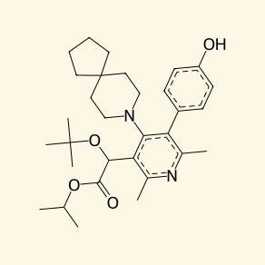 Cc1nc(C)c(C(OC(C)(C)C)C(=O)OC(C)C)c(N2CCC3(CCCC3)CC2)c1-c1ccc(O)cc1